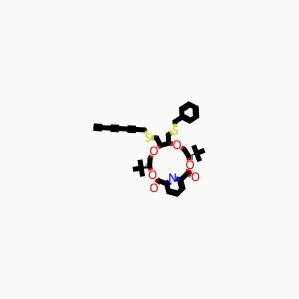 C#CC#CC#CCSCC1OC[C@H](C(C)(C)C)OC(=O)c2cccc(n2)C(=O)O[C@@H](C(C)(C)C)COC1CSCc1ccccc1